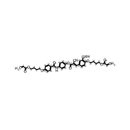 C=CC(=O)OCCCCOc1ccc(C(=O)Nc2ccc(OC(=O)/C(C#N)=C/c3ccc(OCCCCOC(=O)C=C)c(OC)c3)cc2)cc1